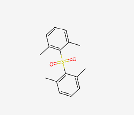 Cc1cccc(C)c1S(=O)(=O)c1c(C)cccc1C